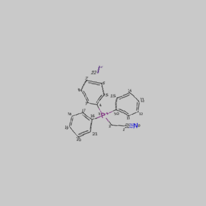 N#CC[P+](c1ccccc1)(c1ccccc1)c1ccccc1.[I-]